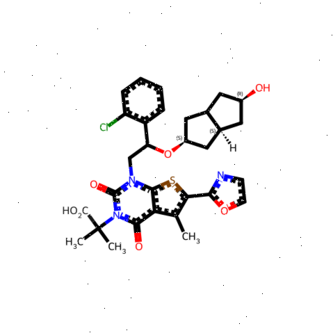 Cc1c(-c2ncco2)sc2c1c(=O)n(C(C)(C)C(=O)O)c(=O)n2CC(O[C@H]1CC2C[C@@H](O)C[C@H]2C1)c1ccccc1Cl